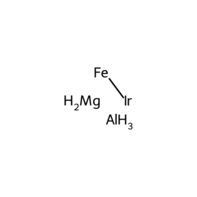 [AlH3].[Fe][Ir].[MgH2]